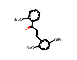 CC(C)COc1ccc(OCC(C)C)c(/C=C/C(=O)c2ccccc2OCC(C)C)c1